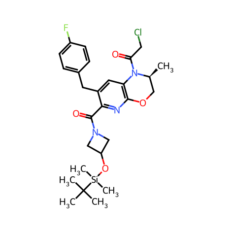 C[C@H]1COc2nc(C(=O)N3CC(O[Si](C)(C)C(C)(C)C)C3)c(Cc3ccc(F)cc3)cc2N1C(=O)CCl